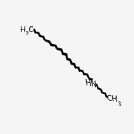 CCCCCCCCCCCCCCCCCCCCCCCCCCNCCCCCCC